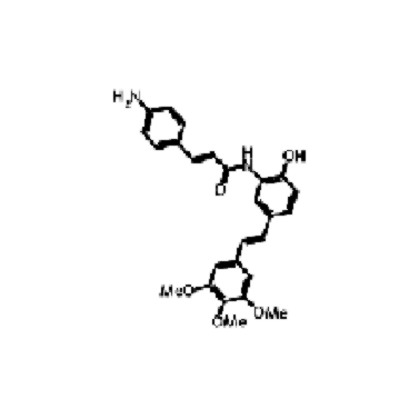 COc1cc(/C=C/c2ccc(O)c(NC(=O)/C=C/c3ccc(N)cc3)c2)cc(OC)c1OC